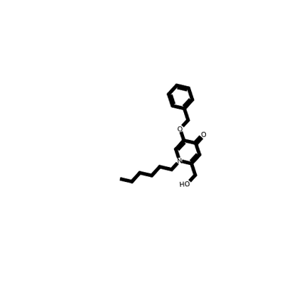 CCCCCCn1cc(OCc2ccccc2)c(=O)cc1CO